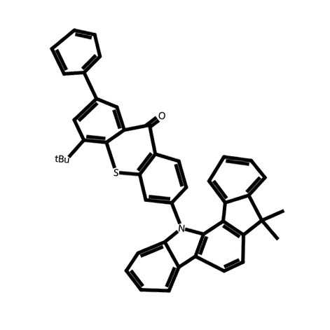 CC(C)(C)c1cc(-c2ccccc2)cc2c(=O)c3ccc(-n4c5ccccc5c5ccc6c(c54)-c4ccccc4C6(C)C)cc3sc12